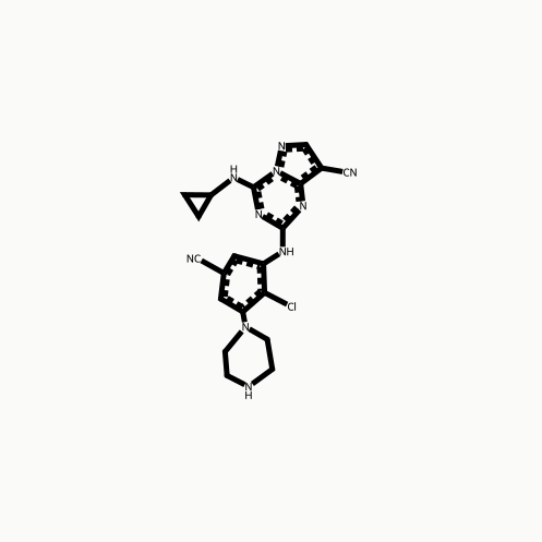 N#Cc1cc(Nc2nc(NC3CC3)n3ncc(C#N)c3n2)c(Cl)c(N2CCNCC2)c1